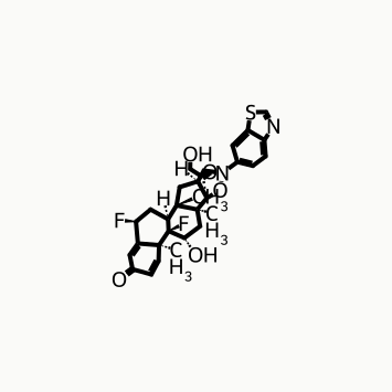 C[C@]12C[C@H](O)[C@@]3(F)[C@@H](C[C@H](F)C4=CC(=O)C=C[C@@]43C)[C@]1(C)C[C@H]1CN(c3ccc4ncsc4c3)O[C@]12C(=O)CO